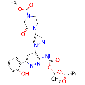 CC(OC(=O)Nc1nnc(-c2ccccc2O)cc1-n1cc(N2CCN(C(=O)OC(C)(C)C)CC2=O)cn1)OC(=O)C(C)C